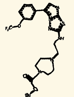 CC(C)(C)OC(=O)N1CCN(CCNc2nn3c(-c4cccc(OC(F)(F)F)c4)cnc3s2)CC1